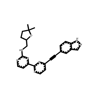 CC1(C)CCC(CNc2nccc(-c3nccc(C#Cc4ccc5[nH]ncc5c4)n3)n2)O1